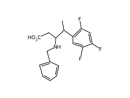 CC(c1cc(F)c(F)cc1F)C(CC(=O)O)NCc1ccccc1